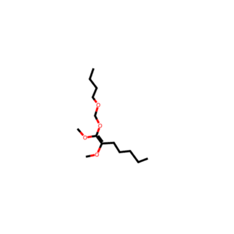 CCCCCC(OC)=C(OC)OCOCCCC